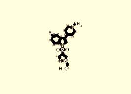 CCn1cc(S(=O)(=O)n2cc(C3=CCN(C)CC3)c3cc(F)ccc32)cn1